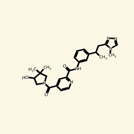 CC(Cc1nncn1C)c1cccc(NC(=O)c2cc(C(=O)N3CC(O)C(C)(C)C3)ccn2)c1